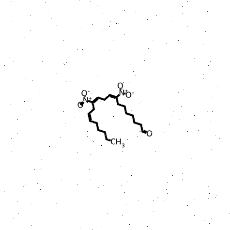 CCCCC/C=C\C/C(=C\C/C=C(\CCCCCC[C]=O)[N+](=O)[O-])[N+](=O)[O-]